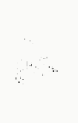 NCCc1c[nH]cn1.O=P([O-])([O-])OP(=O)([O-])[O-].[Na+].[Na+].[Na+].[Na+]